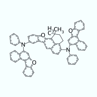 CC1(C)CCc2c(N(c3ccccc3)c3cc4oc5ccccc5c4c4ccccc34)ccc3cc4c(oc5ccc(N(c6ccccc6)c6cc7oc8ccccc8c7c7ccccc67)cc54)c1c23